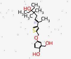 CC/C(=C\CC(C)(C)C(O)(CC)CC)c1csc(COc2ccc(CO)c(CO)c2)c1